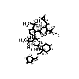 CC(C)(C)C1CCN(C(=O)[C@@H](NC(=O)NC2(CSCc3ccco3)CCCCC2)C(C)(C)C)C1C(=O)NC(CC1CC1)C(=O)C(N)=O